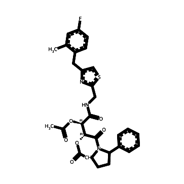 CC(=O)O[C@@H](C(=O)NCc1nc(Cc2ccc(F)cc2C)cs1)[C@@H](OC(C)=O)C(=O)N1CCCC1c1ccccc1